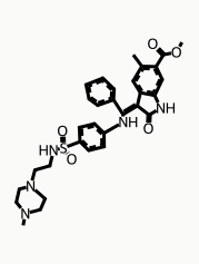 COC(=O)c1cc2c(cc1C)/C(=C(/Nc1ccc(S(=O)(=O)NCCN3CCN(C)CC3)cc1)c1ccccc1)C(=O)N2